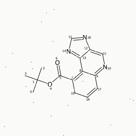 CC(C)(C)OC(=O)C1=c2c(ncc3c2=NC=N3)C=CC1